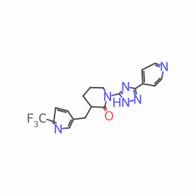 O=C1C(Cc2ccc(C(F)(F)F)nc2)CCCN1c1nc(-c2ccncc2)n[nH]1